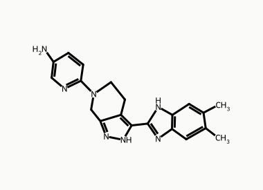 Cc1cc2nc(-c3[nH]nc4c3CCN(c3ccc(N)cn3)C4)[nH]c2cc1C